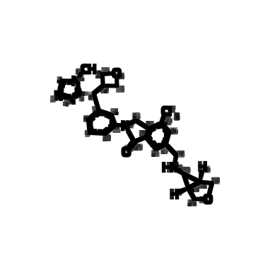 Cn1cnnc1[C@@H](c1cccc(N2Cc3c(cc(CN[C@H]4[C@@H]5COC[C@@H]54)cc3C(F)(F)F)C2=O)c1)C1COC1